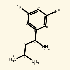 CC(C)CC(N)c1cc(F)cc(F)c1